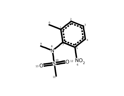 Cc1cccc([N+](=O)[O-])c1N(C)S(C)(=O)=O